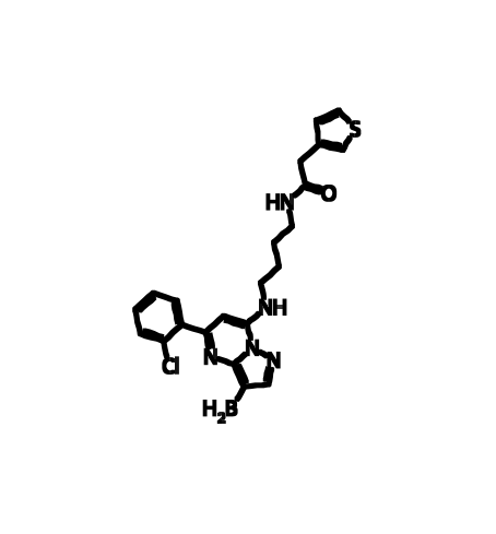 Bc1cnn2c(NCCCCNC(=O)Cc3ccsc3)cc(-c3ccccc3Cl)nc12